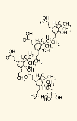 C=CCc1cc(CCC(=O)O)cc(C(C)(C)C)c1O.C=CCc1cc(CCC(=O)O)cc(C(C)(C)C)c1O.C=CCc1cc(CCC(=O)O)cc(C(C)(C)C)c1O.C=CCc1cc(CCC(=O)O)cc(C(C)(C)C)c1O.OCC(CO)(CO)CO